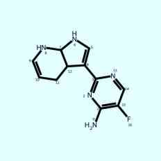 Nc1nc(C2=CNC3NC=CCC23)ncc1F